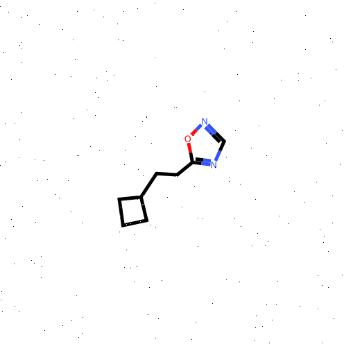 c1noc(CCC2CCC2)n1